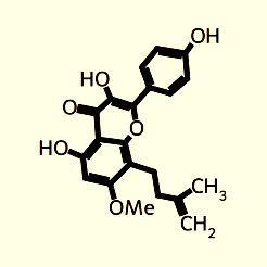 C=C(C)CCc1c(OC)cc(O)c2c(=O)c(O)c(-c3ccc(O)cc3)oc12